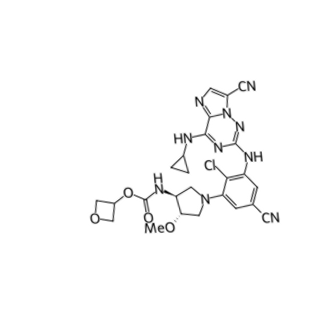 CO[C@H]1CN(c2cc(C#N)cc(Nc3nc(NC4CC4)c4ncc(C#N)n4n3)c2Cl)C[C@@H]1NC(=O)OC1COC1